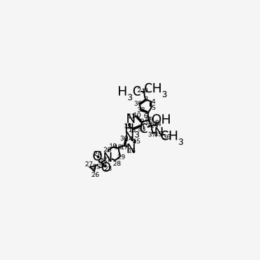 CC(C)c1ccc([C@](O)(c2cncc(-n3cnc(C4CCN(S(=O)(=O)C5CC5)CC4)c3)c2)C2(C)CN(C)C2)cc1